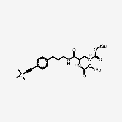 CC(C)(C)OC(=O)NCC(NC(=O)OC(C)(C)C)C(=O)NCCCc1ccc(C#C[Si](C)(C)C)cc1